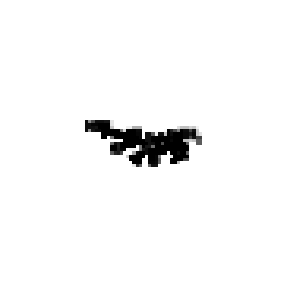 Cn1ncc2c(N)nc3cc(F)c(C(=O)N(Cc4cc(Cl)c(C#CC(C)(C)O)cn4)C4CC4)cc3c21